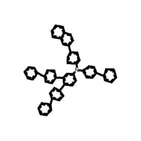 c1ccc(-c2ccc(-c3ccc(N(c4ccc(-c5ccccc5)cc4)c4ccc(-c5ccc6ccccc6c5)cc4)cc3-c3ccc(-c4ccccc4)cc3)cc2)cc1